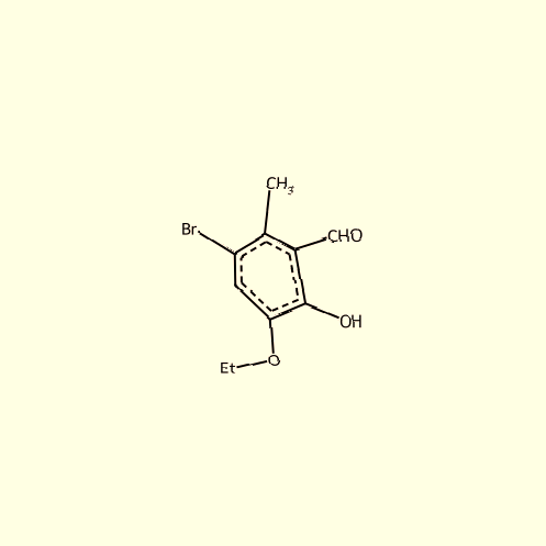 CCOc1cc(Br)c(C)c(C=O)c1O